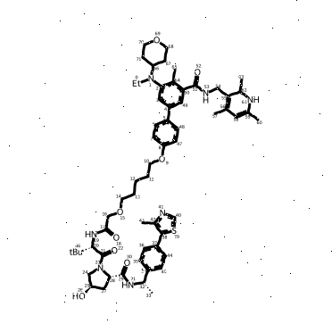 CCN(c1cc(-c2ccc(OCCCCCOCC(=O)N[C@H](C(=O)N3C[C@H](O)C[C@H]3C(=O)N[C@@H](C)c3ccc(-c4scnc4C)cc3)C(C)(C)C)cc2)cc(C(=O)NCC2=C(C)C=C(C)NC2C)c1C)C1CCOCC1